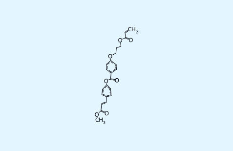 C=CC(=O)OCCCOc1ccc(C(=O)Oc2ccc(C=CC(=O)OC)cc2)cc1